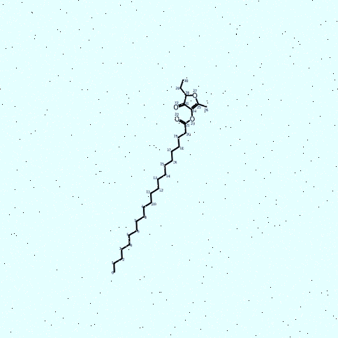 CCCCCCCCCCCCCCCCCCCCCC(=O)OC1=C(C)OC(CC)C1=O